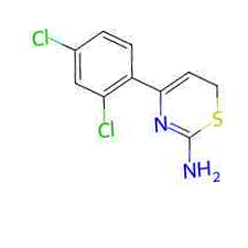 NC1=NC(c2ccc(Cl)cc2Cl)=CCS1